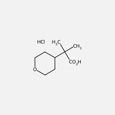 CC(C)(C(=O)O)C1CCOCC1.Cl